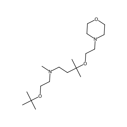 CN(CCOC(C)(C)C)CCC(C)(C)OCCN1CCOCC1